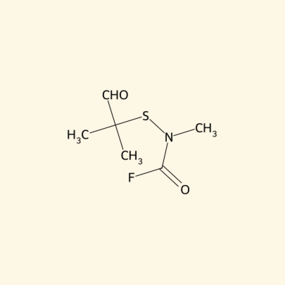 CN(SC(C)(C)C=O)C(=O)F